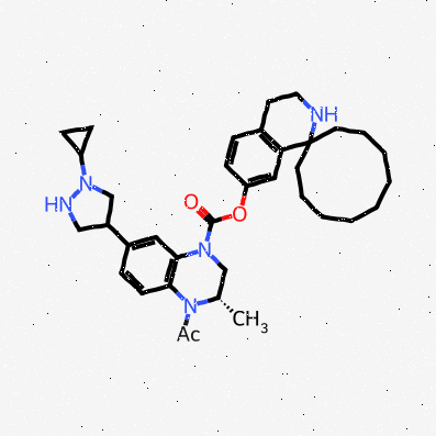 CC(=O)N1c2ccc(C3CNN(C4CC4)C3)cc2N(C(=O)Oc2ccc3c(c2)C2(CCCCCCCCC2)NCC3)C[C@@H]1C